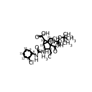 CCC1C(NC(=O)Nc2ccccc2Cl)C2C(C(=O)O)C2(CC)C1(NC(=O)OC(C)(C)C)C(=O)O